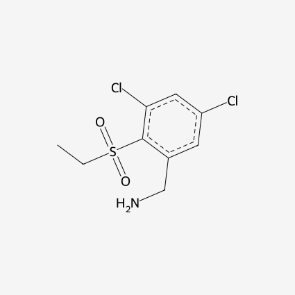 CCS(=O)(=O)c1c(Cl)cc(Cl)cc1CN